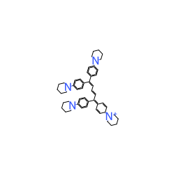 C(=CC(=C1C=CC(=[N+]2CCCCC2)C=C1)c1ccc(N2CCCCC2)cc1)C=C(c1ccc(N2CCCCC2)cc1)c1ccc(N2CCCCC2)cc1